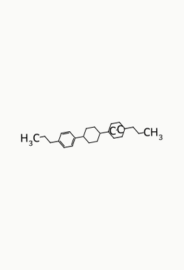 CCCc1ccc(C2CCC(C34CCC(CCC)(CC3)CC4)CC2)cc1